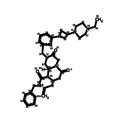 C=CCN1CC(=O)N2CC(=O)N(Cc3cccc(N4CC(N5CCN(CC)CC5)C4)n3)C[C@@H]2N1C(=O)NCc1ccccc1